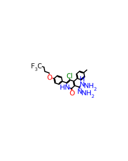 Cc1ccc(-c2c(Cl)c(-c3ccc(OCCCC(F)(F)F)cc3)[nH]c(=O)c2/C(=N/N)NN)cc1